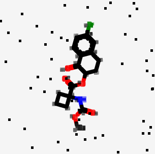 CC(C)(C)OC(=O)NC1(C(=O)OC2CCc3cc(Br)ccc3C2=O)CCC1